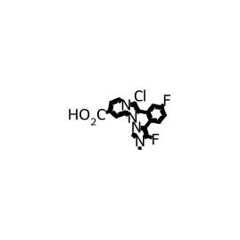 Cn1cnc(-c2ccc(F)cc2-c2nc3cc(C(=O)O)ccn3c2Cl)c1F